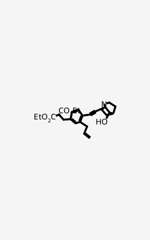 C=CCc1cc(CC(C(=O)OCC)C(=O)OCC)ccc1C#CC1C(O)C2CCN1CC2